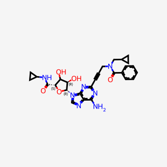 Nc1nc(C#CCN(CC2CC2)C(=O)c2ccccc2)nc2c1ncn2[C@@H]1O[C@H](C(=O)NC2CC2)C(O)[C@H]1O